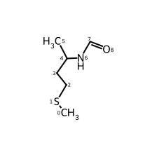 CSCCC(C)NC=O